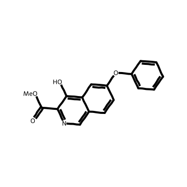 COC(=O)c1ncc2ccc(Oc3ccccc3)cc2c1O